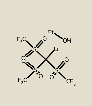 CCO.[Li][C](S(=O)(=O)C(F)(F)F)(S(=O)(=O)C(F)(F)F)S(=O)(=O)C(F)(F)F